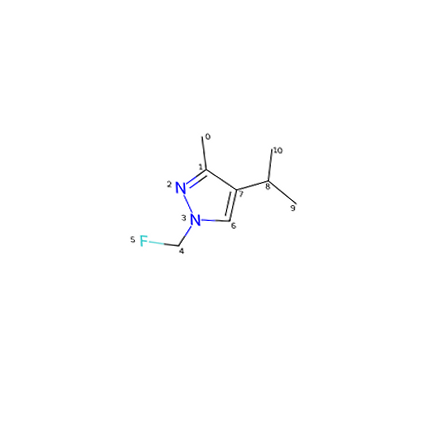 Cc1nn(CF)cc1C(C)C